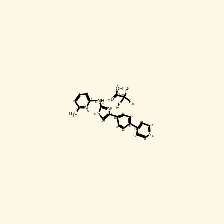 Cc1cccc(Nc2nc(-c3ccc(-c4ccncc4)cc3)cs2)n1.O=C(O)C(F)(F)F